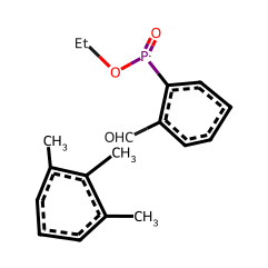 CCO[P](=O)c1ccccc1C=O.Cc1cccc(C)c1C